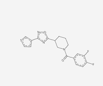 O=C(c1ccc(F)c(F)c1)N1CCCC(c2nc(-c3ccsc3)no2)C1